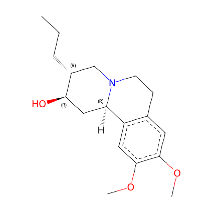 CCC[C@@H]1CN2CCc3cc(OC)c(OC)cc3[C@H]2C[C@H]1O